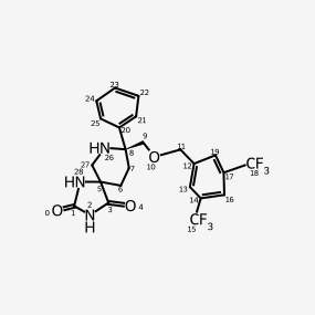 O=C1NC(=O)C2(CC[C@@](COCc3cc(C(F)(F)F)cc(C(F)(F)F)c3)(c3ccccc3)NC2)N1